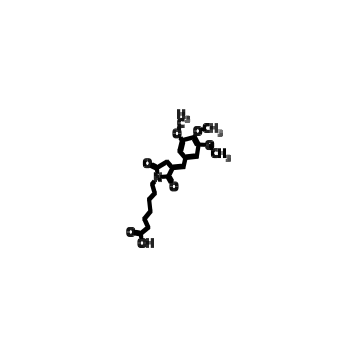 COc1cc(/C=C2\CC(=O)N(CCCCCCC(=O)O)C2=O)cc(OC)c1OC